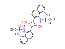 O=CC1(C=O)Nc2cccc3ccc(C4C(O)C(c5ccc6cccc7c6c5NC(C=O)(C=O)N7)C4O)c(c23)N1